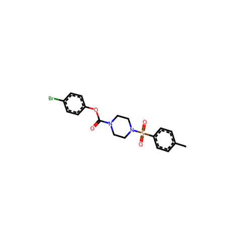 Cc1ccc(S(=O)(=O)N2CCN(C(=O)Oc3ccc(Br)cc3)CC2)cc1